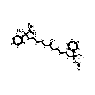 CC(CCCCCC(=O)CCCCCC(C)(C(=O)O)c1ccccc1)(OC=O)c1ccccc1